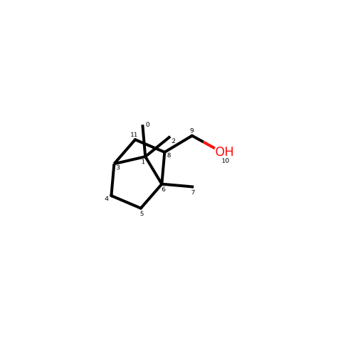 CC1(C)C2CCC1(C)C(CO)C2